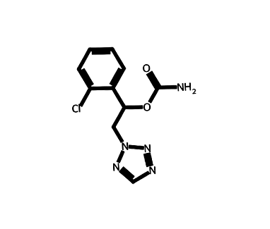 NC(=O)OC(Cn1ncnn1)c1ccccc1Cl